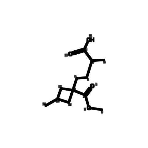 COC(=O)C1(CCC(C)C(=O)O)CC(C)C1